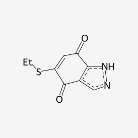 CCSC1=CC(=O)c2[nH]ncc2C1=O